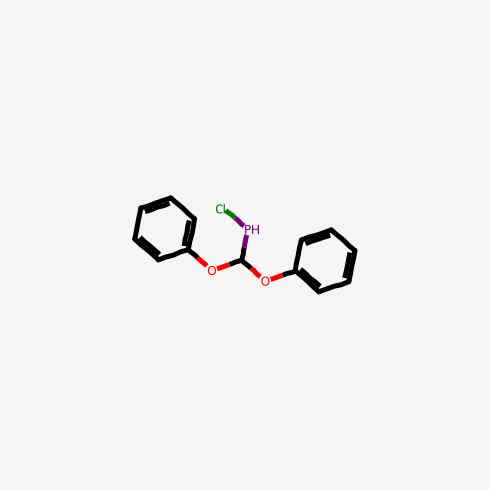 ClPC(Oc1ccccc1)Oc1ccccc1